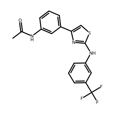 CC(=O)Nc1cccc(-c2csc(Nc3cccc(C(F)(F)F)c3)n2)c1